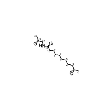 CC(=O)CCCCCCCCC(=O)NCC(C)=O